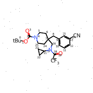 CC(C)(C)OC(=O)N1CCC(Cc2cccc(C#N)c2)(CN(C(=O)C(F)(F)F)C2CC2)CC1